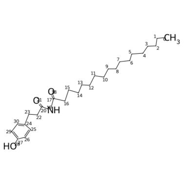 CCCCCCCCCCCCCCCCCC(=O)NC(=O)CCc1ccc(O)cc1